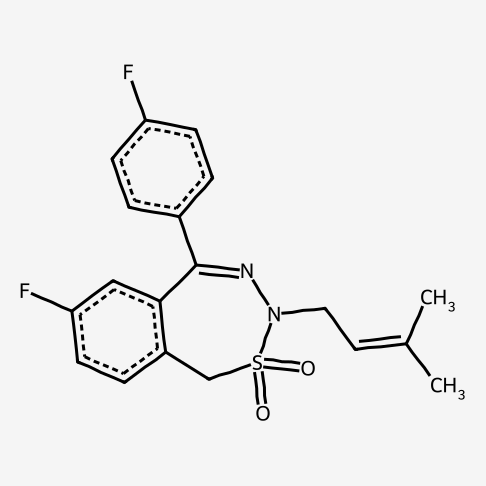 CC(C)=CCN1N=C(c2ccc(F)cc2)c2cc(F)ccc2CS1(=O)=O